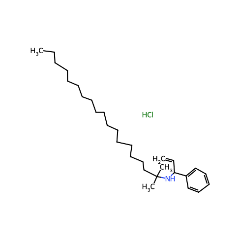 C=CC(NC(C)(C)CCCCCCCCCCCCCCCCC)c1ccccc1.Cl